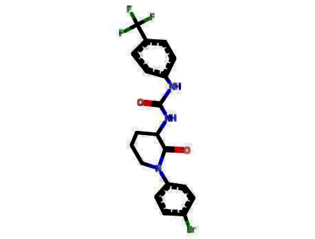 O=C(Nc1ccc(C(F)(F)F)cc1)NC1CCCN(c2ccc(Br)cc2)C1=O